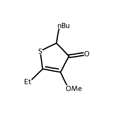 CCCCC1SC(CC)=C(OC)C1=O